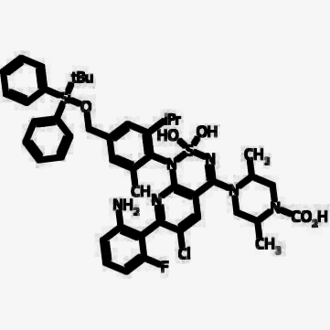 Cc1cc(CO[Si](c2ccccc2)(c2ccccc2)C(C)(C)C)cc(C(C)C)c1N1c2nc(-c3c(N)cccc3F)c(Cl)cc2C(N2CC(C)N(C(=O)O)CC2C)=NS1(O)O